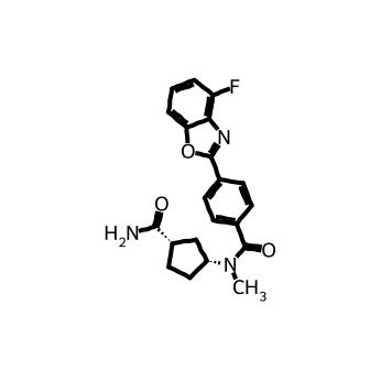 CN(C(=O)c1ccc(-c2nc3c(F)cccc3o2)cc1)[C@@H]1CC[C@H](C(N)=O)C1